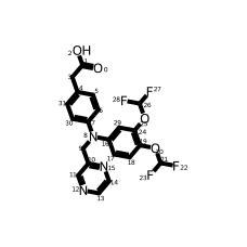 O=C(O)Cc1ccc(N(Cc2cnccn2)c2ccc(OC(F)F)c(OC(F)F)c2)cc1